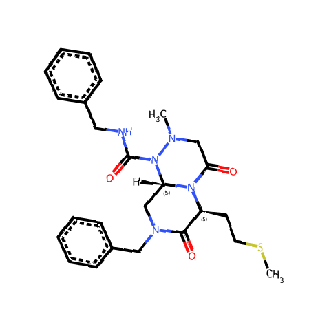 CSCC[C@H]1C(=O)N(Cc2ccccc2)C[C@H]2N1C(=O)CN(C)N2C(=O)NCc1ccccc1